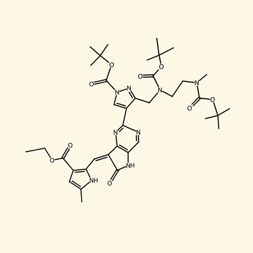 CCOC(=O)c1cc(C)[nH]c1/C=C1\C(=O)Nc2cnc(-c3cn(C(=O)OC(C)(C)C)nc3CN(CCN(C)C(=O)OC(C)(C)C)C(=O)OC(C)(C)C)nc21